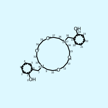 Oc1ccccc1CN1CCOCCOCCN(Cc2ccccc2O)CCOCCOCC1